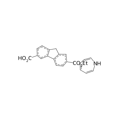 C1=CC=CNC=C1.CCOC(=O)c1ccc2c(c1)Cc1ccc(C(=O)O)cc1-2